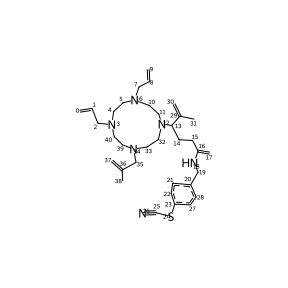 C=CCN1CCN(CC=C)CCN(C(CCC(=C)NCc2ccc(SC#N)cc2)C(=C)C)CCN(CC(=C)C)CC1